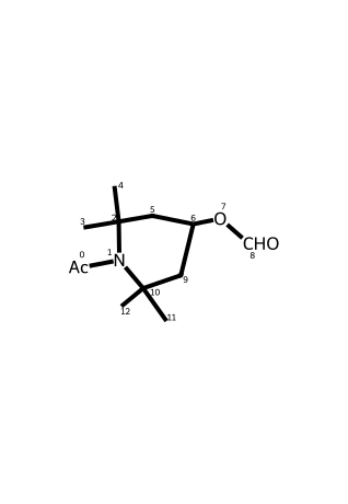 CC(=O)N1C(C)(C)CC(OC=O)CC1(C)C